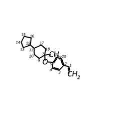 C=Cc1ccc(OC2(C)CCC(C3CCCC3)CC2)cc1